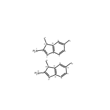 Cc1ccc2nc(N)n(C)c2c1.Cc1ccc2nc(N)n(C)c2c1